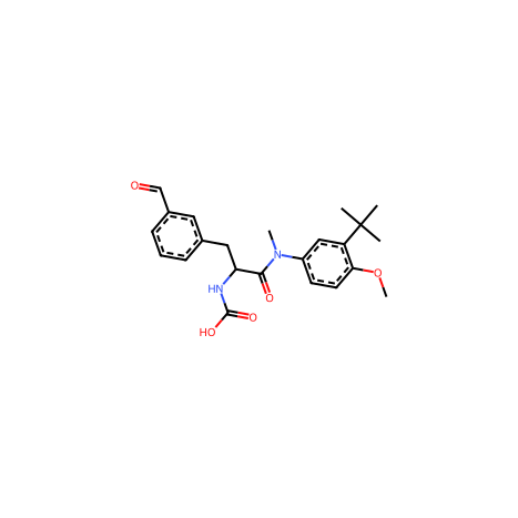 COc1ccc(N(C)C(=O)C(Cc2cccc(C=O)c2)NC(=O)O)cc1C(C)(C)C